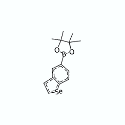 CC1(C)OB(c2ccc3[se]ccc3c2)OC1(C)C